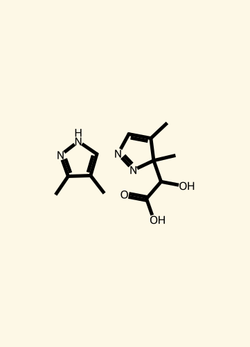 CC1=CN=NC1(C)C(O)C(=O)O.Cc1c[nH]nc1C